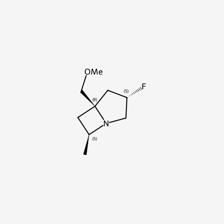 COC[C@@]12C[C@H](F)CN1[C@@H](C)C2